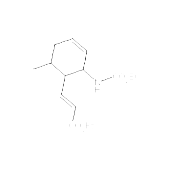 CCOC(=O)/C=C/C1C(C)CC=CC1NC(=O)OCC